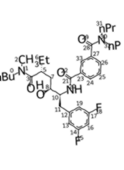 CCCCN(C)C(=O)[C@H](CC)C[C@H](O)[C@H](Cc1cc(F)cc(F)c1)NC(=O)c1cccc(C(=O)N(CCC)CCC)c1